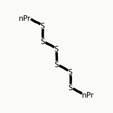 CCCSSSSSSCCC